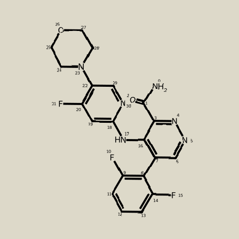 NC(=O)c1nncc(-c2c(F)cccc2F)c1Nc1cc(F)c(N2CCOCC2)cn1